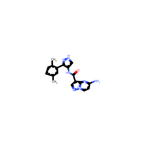 Cc1ccc(C)c(-c2n[nH]cc2NC(=O)c2cnn3ccc(N)nc23)c1